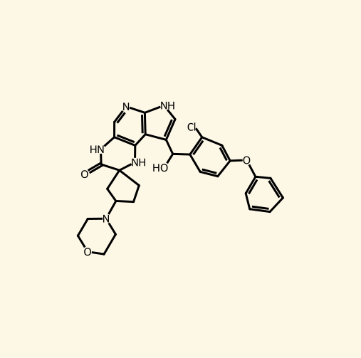 O=C1Nc2cnc3[nH]cc(C(O)c4ccc(Oc5ccccc5)cc4Cl)c3c2NC12CCC(N1CCOCC1)C2